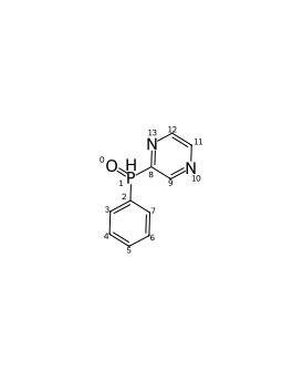 O=[PH](c1ccccc1)c1cnccn1